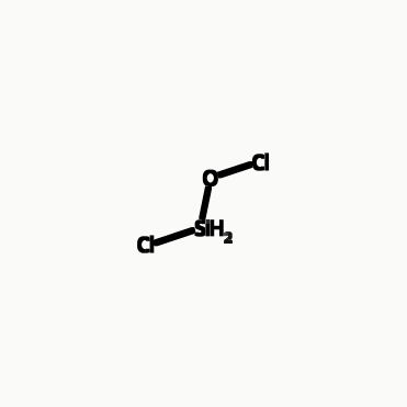 ClO[SiH2]Cl